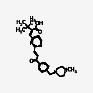 CN1CCN(Cc2ccc(C(=O)C=Cc3cccc(C=C(C(=O)O)C(C)(C)C)n3)cc2)CC1